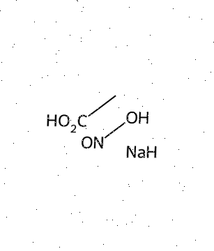 CC(=O)O.O=NO.[NaH]